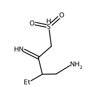 CCC(CN)C(=N)C[SH](=O)=O